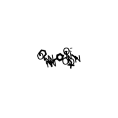 CC(C)(C)OC(=O)N(CC#N)[S+]([O-])c1ccc(-c2nnn(CC3CCCCO3)n2)cc1